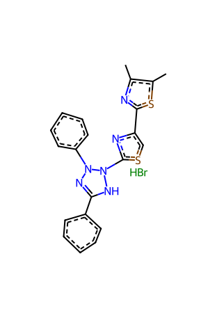 Br.Cc1nc(-c2csc(N3NC(c4ccccc4)=NN3c3ccccc3)n2)sc1C